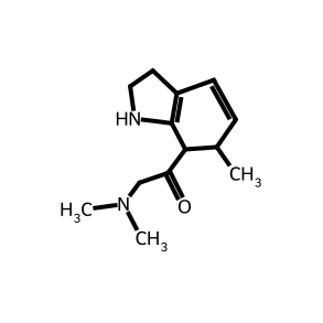 CC1C=CC2=C(NCC2)C1C(=O)CN(C)C